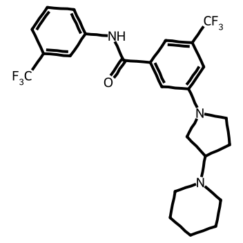 O=C(Nc1cccc(C(F)(F)F)c1)c1cc(N2CCC(N3CCCCC3)C2)cc(C(F)(F)F)c1